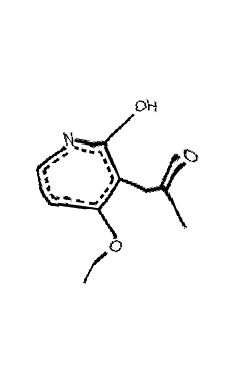 COc1ccnc(O)c1C(C)=O